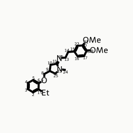 CCc1ccccc1OCC1CC(=NCCc2ccc(OC)c(OC)c2)N(C)C1